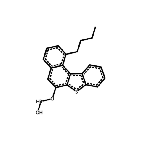 CCCCc1cccc2cc(OBO)c3sc4ccccc4c3c12